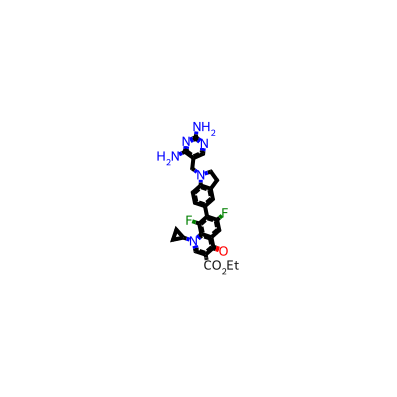 CCOC(=O)c1cn(C2CC2)c2c(F)c(-c3ccc4c(c3)CCN4Cc3cnc(N)nc3N)c(F)cc2c1=O